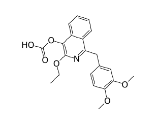 CCOc1nc(Cc2ccc(OC)c(OC)c2)c2ccccc2c1OC(=O)O